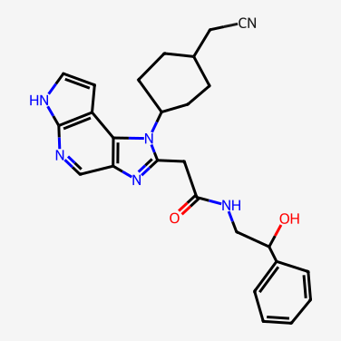 N#CCC1CCC(n2c(CC(=O)NCC(O)c3ccccc3)nc3cnc4[nH]ccc4c32)CC1